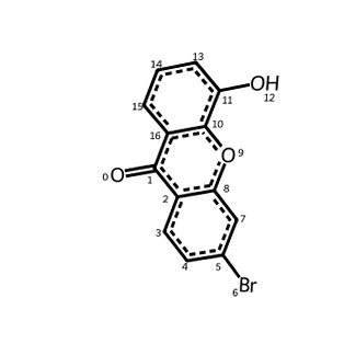 O=c1c2ccc(Br)cc2oc2c(O)cccc12